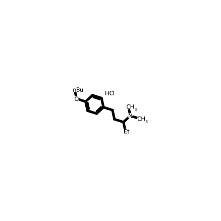 CCCCOc1ccc(CCC(CC)N(C)C)cc1.Cl